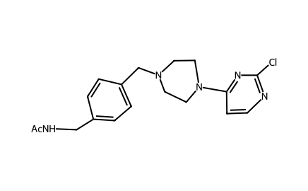 CC(=O)NCc1ccc(CN2CCN(c3ccnc(Cl)n3)CC2)cc1